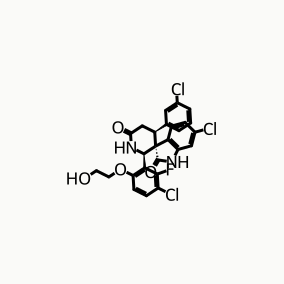 O=C1C[C@@H](c2cccc(Cl)c2)[C@]2(C(=O)Nc3cc(Cl)ccc32)[C@@H](c2c(OCCO)ccc(Cl)c2F)N1